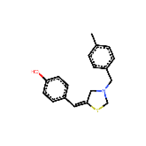 Cc1ccc(CN2CSC(=Cc3ccc(O)cc3)C2)cc1